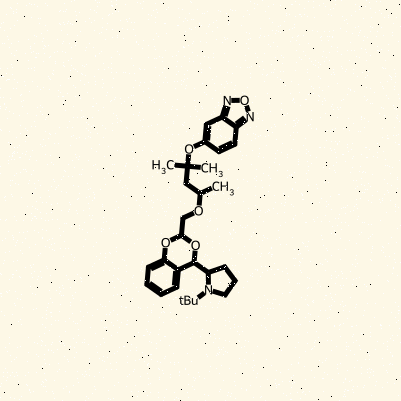 CC(CC(C)(C)Oc1ccc2nonc2c1)OCC1Oc2ccccc2C(C2CCCN2C(C)(C)C)O1